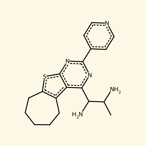 CC(N)C(N)c1nc(-c2ccncc2)nc2sc3c(c12)CCCCC3